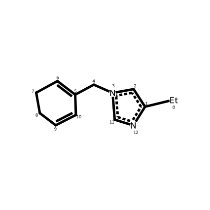 CCc1cn(CC2=CCCC=C2)cn1